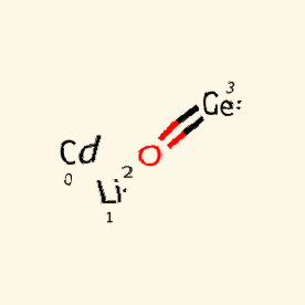 [Cd].[Li].[O]=[Ge]